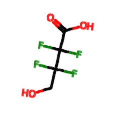 O=C(O)C(F)(F)C(F)(F)CO